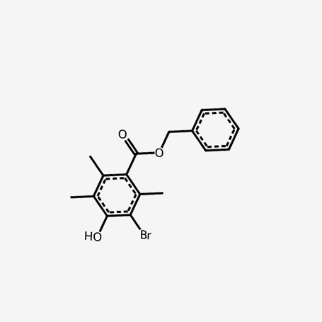 Cc1c(C)c(C(=O)OCc2ccccc2)c(C)c(Br)c1O